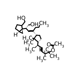 CCC/C(=C\[C@@H](CO)[C@]12C[C@H]1CCC2CO)[C@@H]1CC[C@H]([C@H](C)/C=C/[C@H](C)C(C)(C)OC(C)=O)C1(C)C